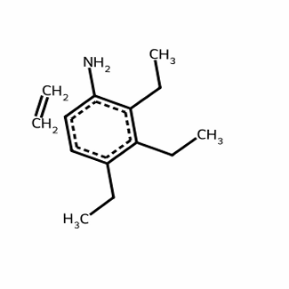 C=C.CCc1ccc(N)c(CC)c1CC